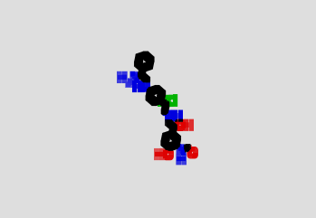 Cl.NC(CNc1ccc(CCNC[C@H](O)c2ccc(O)c(NC=O)c2)cc1)c1ccccc1